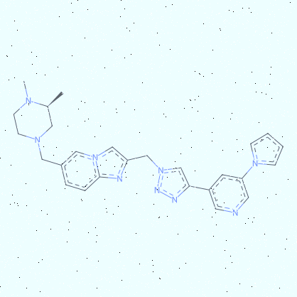 C[C@H]1CN(Cc2ccc3nc(Cn4cc(-c5cncc(-n6cccc6)c5)nn4)cn3c2)CCN1C